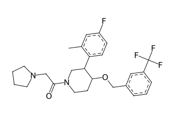 Cc1cc(F)ccc1C1CN(C(=O)CN2CCCC2)CCC1OCc1cccc(C(F)(F)F)c1